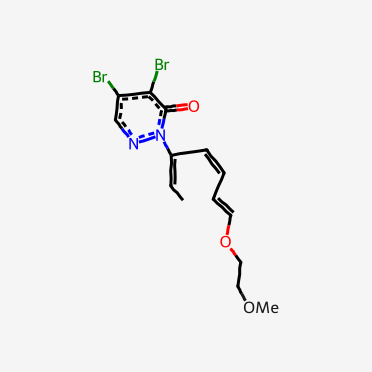 C\C=C(/C=C\C=C\OCCOC)n1ncc(Br)c(Br)c1=O